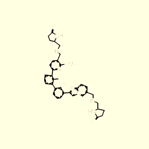 COc1nc(-c2cccc(-c3cccc(-c4cn5cc(CNCC6CCC(=O)N6)ccc5n4)c3Cl)c2Cl)ccc1CNCC1CCC(=O)N1